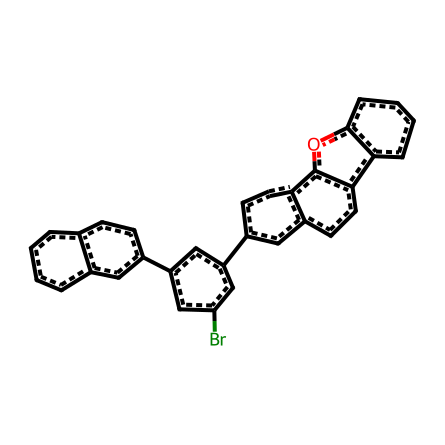 Brc1cc(-c2ccc3ccccc3c2)cc(-c2ccc3c(ccc4c5ccccc5oc34)c2)c1